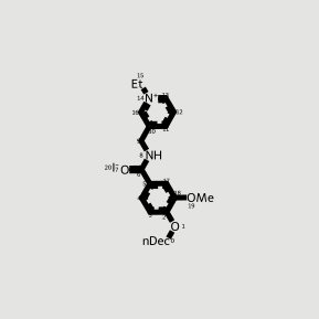 CCCCCCCCCCOc1ccc(C(=O)NCc2ccc[n+](CC)c2)cc1OC.[I-]